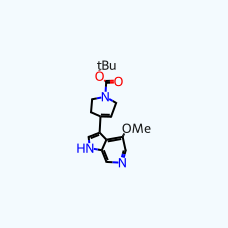 COc1cncc2[nH]cc(C3=CCN(C(=O)OC(C)(C)C)CC3)c12